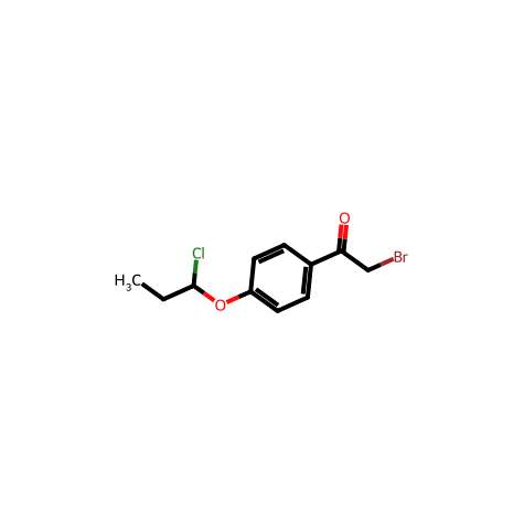 CCC(Cl)Oc1ccc(C(=O)CBr)cc1